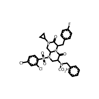 O=C1C(Cc2ccc(F)cc2)N2C(=O)C(N(Cc3ccccc3)C(=O)O)CN(S(=O)(=O)c3ccc(Cl)cc3Cl)C2CN1C1CC1